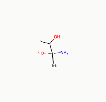 CCC(N)(O)C(C)O